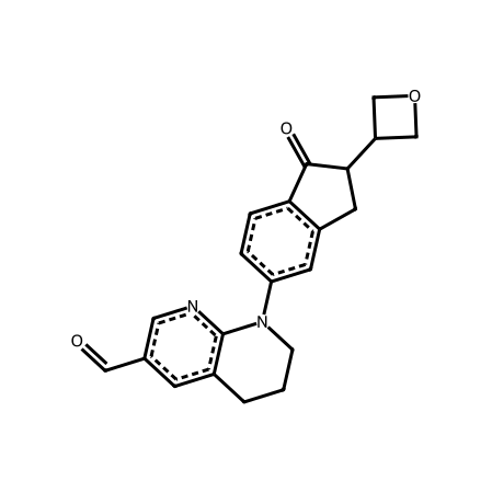 O=Cc1cnc2c(c1)CCCN2c1ccc2c(c1)CC(C1COC1)C2=O